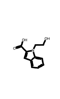 O=C(O)c1cc2ccccc2n1CCO